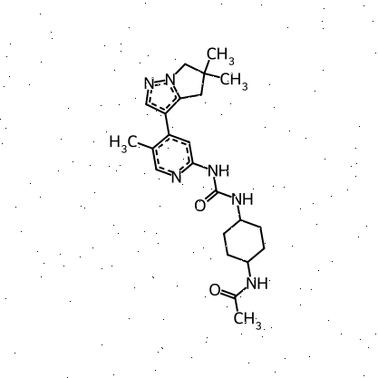 CC(=O)NC1CCC(NC(=O)Nc2cc(-c3cnn4c3CC(C)(C)C4)c(C)cn2)CC1